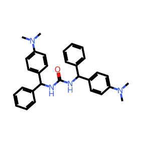 CN(C)c1ccc(C(NC(=O)NC(c2ccccc2)c2ccc(N(C)C)cc2)c2ccccc2)cc1